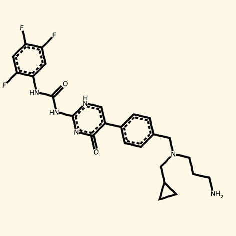 NCCCN(Cc1ccc(-c2c[nH]c(NC(=O)Nc3cc(F)c(F)cc3F)nc2=O)cc1)CC1CC1